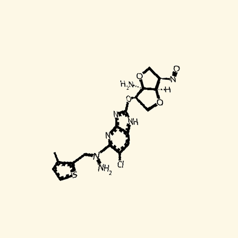 Cc1ccsc1CN(N)c1nc2nc(O[C@@H]3CO[C@@H]4[C@H](N=O)CO[C@@]43N)[nH]c2cc1Cl